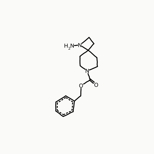 NN1CCC12CCN(C(=O)OCc1ccccc1)CC2